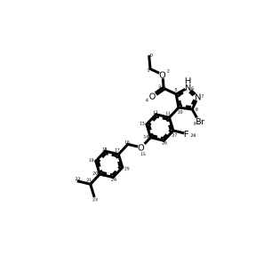 CCOC(=O)c1[nH]nc(Br)c1-c1ccc(OCc2ccc(C(C)C)cc2)cc1F